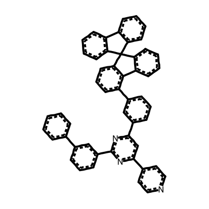 c1ccc(-c2cccc(-c3nc(-c4ccncc4)cc(-c4cccc(-c5cccc6c5-c5ccccc5C65c6ccccc6-c6ccccc65)c4)n3)c2)cc1